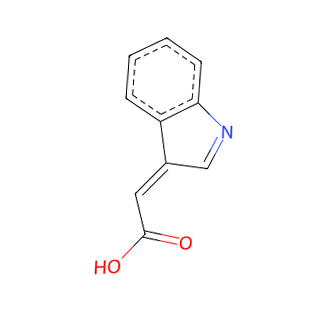 O=C(O)C=C1C=Nc2ccccc21